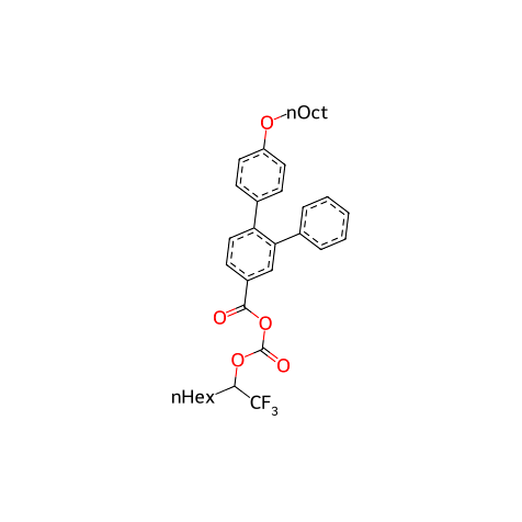 CCCCCCCCOc1ccc(-c2ccc(C(=O)OC(=O)OC(CCCCCC)C(F)(F)F)cc2-c2ccccc2)cc1